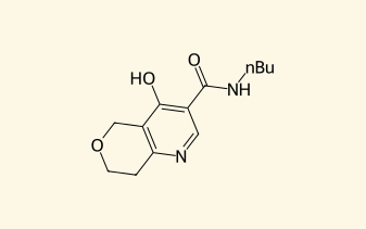 CCCCNC(=O)c1cnc2c(c1O)COCC2